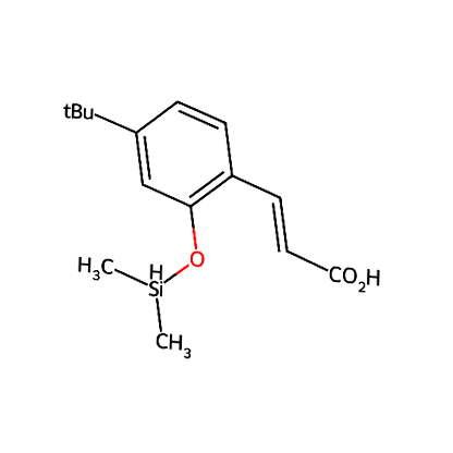 C[SiH](C)Oc1cc(C(C)(C)C)ccc1/C=C/C(=O)O